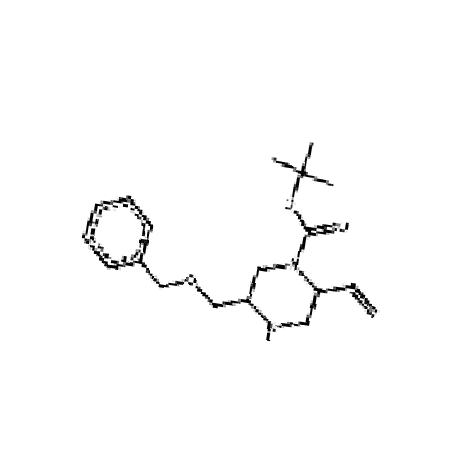 C=CC1CNC(COCc2ccccc2)CN1C(=O)OC(C)(C)C